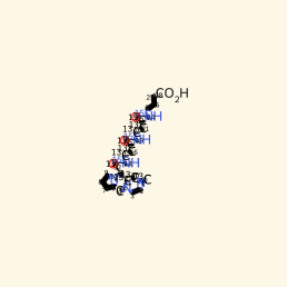 [13CH3]N1CCN([13CH2]C2CCCN2C[13C](=O)[15NH][13CH2][13CH2][13C](=O)[15NH][13CH2][13CH2][13C](=O)[15NH]CCCC(=O)O)[13CH2][13CH2]1